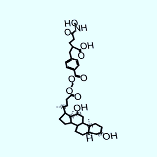 C[C@H](CCC(=O)OCOC(=O)c1ccc(CC(CCC(=O)NO)C(=O)O)cc1)C1CCC2C3CC[C@@H]4C[C@H](O)CC[C@]4(C)C3C[C@H](O)[C@@]21C